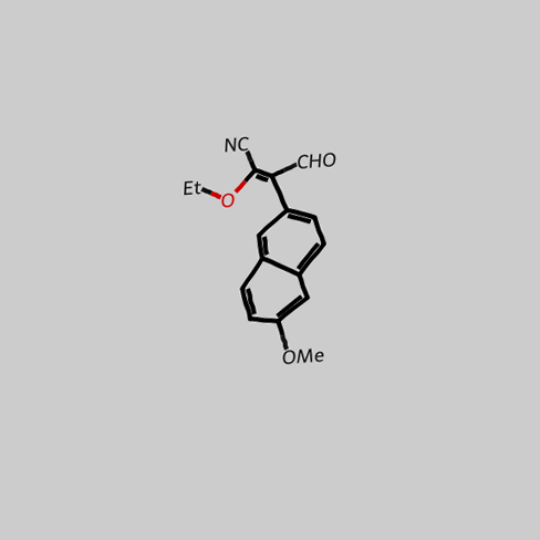 CCOC(C#N)=C(C=O)c1ccc2cc(OC)ccc2c1